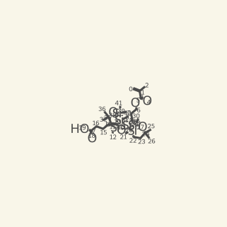 C=C(C)C(=O)OCCC[Si](O[Si](C)(C)CCCC(=O)O)([Si]1(C)CCC(C)(C)O[Si]1(C)C)[Si]1(C)CCC(C)(C)O[Si]1(C)C